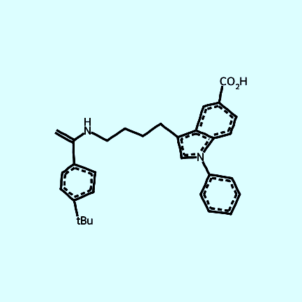 C=C(NCCCCc1cn(-c2ccccc2)c2ccc(C(=O)O)cc12)c1ccc(C(C)(C)C)cc1